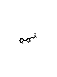 CC(=O)C=Cc1cc(-c2ccccn2)no1